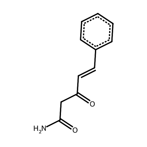 NC(=O)CC(=O)C=Cc1ccccc1